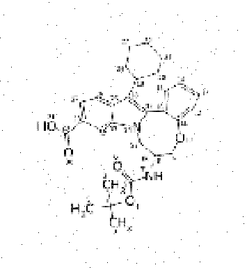 CC(C)(C)OC(=O)N[C@H]1COc2ccccc2-c2c(C3CCCCC3)c3ccc(C(=O)O)cc3n2C1